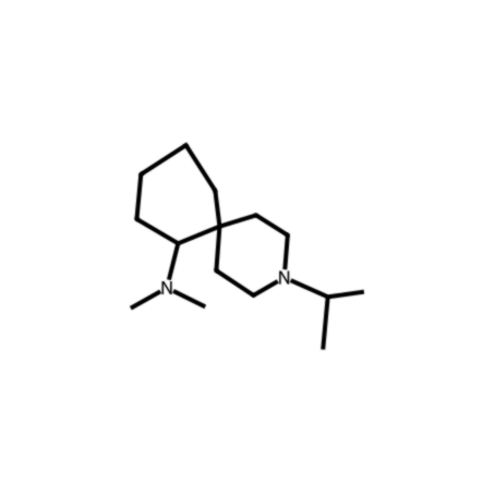 CC(C)N1CCC2(CCCCC2N(C)C)CC1